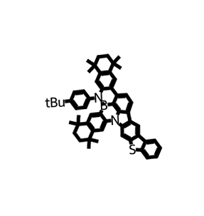 CC(C)(C)c1ccc(N2B3c4cc5c(cc4-n4c6cc7sc8ccccc8c7cc6c6ccc(c3c64)-c3cc4c(cc32)C(C)(C)CCC4(C)C)C(C)(C)CCC5(C)C)cc1